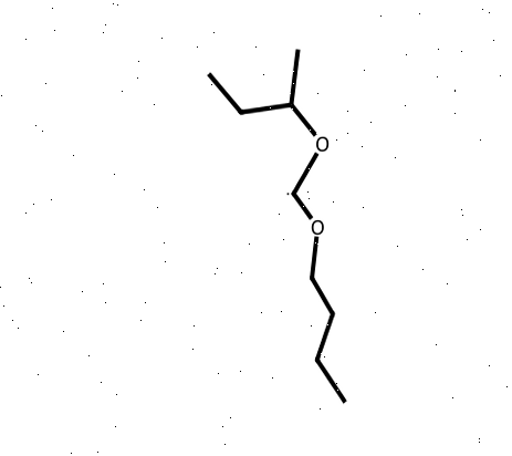 CCCCO[CH]OC(C)CC